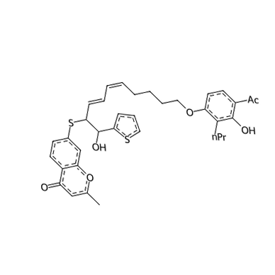 CCCc1c(OCCCC/C=C\C=C\C(Sc2ccc3c(=O)cc(C)oc3c2)C(O)c2cccs2)ccc(C(C)=O)c1O